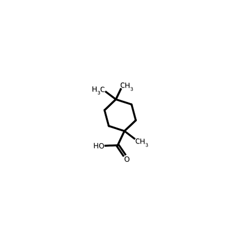 CC1(C)CCC(C)(C(=O)O)CC1